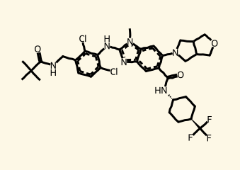 Cn1c(Nc2c(Cl)ccc(CNC(=O)C(C)(C)C)c2Cl)nc2cc(C(=O)N[C@H]3CC[C@H](C(F)(F)F)CC3)c(N3CC4COCC4C3)cc21